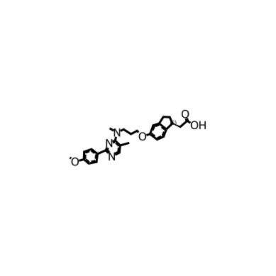 COc1ccc(-c2ncc(C)c(N(C)CCCOc3ccc4c(c3)CC[C@H]4CC(=O)O)n2)cc1